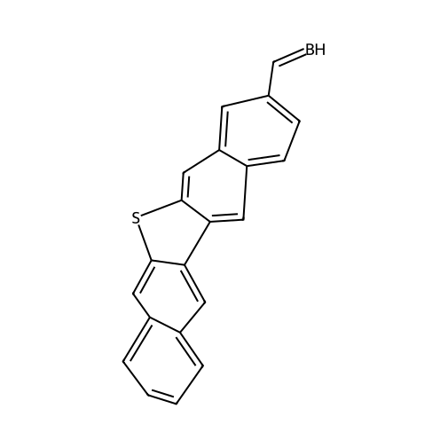 B=Cc1ccc2cc3c(cc2c1)sc1cc2ccccc2cc13